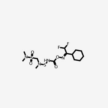 CN(CS(=O)(=O)N(C)C)SNC(=O)ON=C(C(F)F)C1CCCCC1